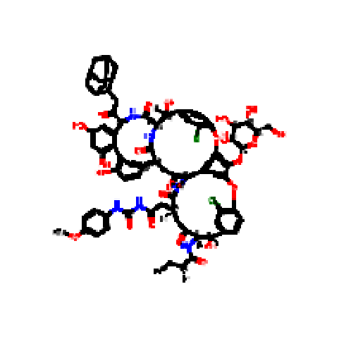 CCCCOc1ccc(NC(=O)NC(=O)C[C@@H]2CC(=O)[C@H](NC(=O)[C@H](CC)CC(C)C)[C@H](O)c3ccc(c(Cl)c3)Oc3cc4cc(c3O[C@@H]3O[C@H](CO)[C@@H](O)[C@H](O)[C@H]3O)Oc3ccc(cc3Cl)[C@@H](O)[C@@H]3NC(=O)[C@@H](CC(=O)[C@@H]4NC2=O)c2ccc(O)c(c2)-c2c(O)cc(O)cc2[C@@H](C(=O)CC2C4CC5CC(C4)CC2C5)NC3=O)cc1